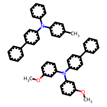 COc1cccc(N(c2ccc(-c3ccccc3)cc2)c2cccc(OC)c2)c1.Cc1ccc(N(c2ccccc2)c2ccc(-c3ccccc3)cc2)cc1